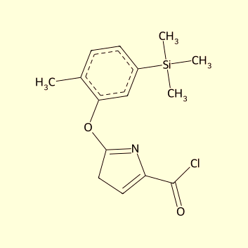 Cc1ccc([Si](C)(C)C)cc1OC1=NC(C(=O)Cl)=CC1